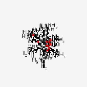 NC(N)NCCC[C@@H](C=O)NN([C@H](C=O)CCCNC(N)N)N([C@H](C=O)CCCNC(N)N)N([C@H](C=O)CCCNC(N)N)N([C@H](C=O)CCCNC(N)N)N([C@H](C=O)CCCNC(N)N)N([C@H](C=O)CCCNC(N)N)N(N[C@H](C=O)CCCNC(N)N)[C@H](C=O)CCCNC(N)N